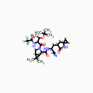 CC(OC(C)(C)C)C(NC(=O)C(F)(F)F)C(=O)N1CC2C(C1C(=O)NC(C#N)CC1CC3(CC3)NC1=O)C2(C)C